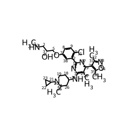 CNC[C@@H](O)COc1ccc(Cl)c(-c2nc(N[C@@H]3CCN(C4CC4)[C@H](C)C3)c(C)c(-c3c(C)noc3C)n2)c1